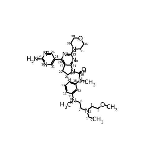 CCN(CCOC)CCN(C)c1cccc(N(C)C(=O)N2CCc3c(-c4cnc(N)nc4)nc(N4CCOCC4)nc32)c1